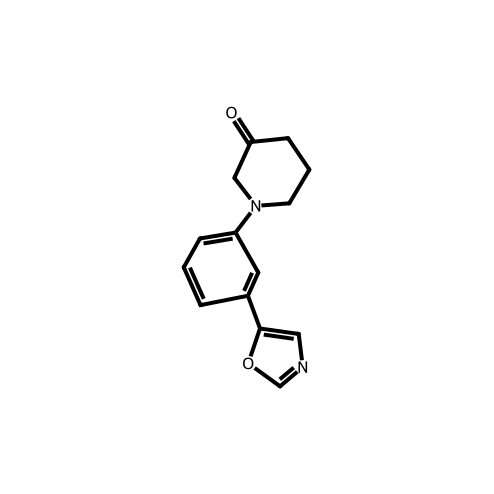 O=C1CCCN(c2cccc(-c3cnco3)c2)C1